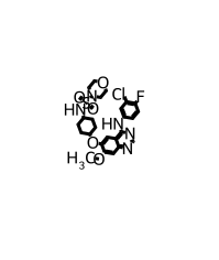 COc1cc2ncnc(Nc3ccc(F)c(Cl)c3)c2cc1OC1CCC(NS(=O)(=O)N2CCOCC2)CC1